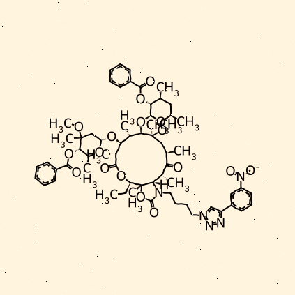 CC[C@H]1OC(=O)[C@H](C)[C@@H](O[C@H]2C[C@@](C)(OC)[C@@H](OC(=O)c3ccccc3)[C@H](C)O2)[C@H](C)[C@@H](O[C@@H]2O[C@H](C)C[C@H](C)[C@H]2OC(=O)c2ccccc2)[C@@](C)(OC)C[C@@H](C)C(=O)[C@H](C)[C@@H]2N(CCCCn3cc(-c4cccc([N+](=O)[O-])c4)nn3)C(=O)O[C@@]21C